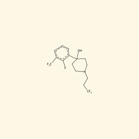 OC1(c2cccc(C(F)(F)F)c2F)CCN(CCC(F)(F)F)CC1